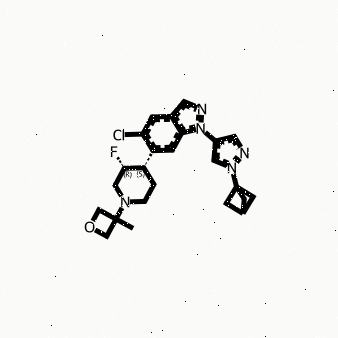 CC1(N2CC[C@@H](c3cc4c(cnn4-c4cnn(C56CC(C5)C6)c4)cc3Cl)[C@@H](F)C2)COC1